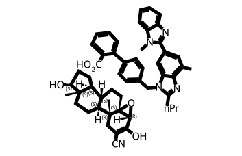 CCCc1nc2c(C)cc(-c3nc4ccccc4n3C)cc2n1Cc1ccc(-c2ccccc2C(=O)O)cc1.C[C@]12CC[C@H]3[C@@H](CC[C@@]45O[C@@H]4C(O)=C(C#N)C[C@]35C)[C@@H]1CC[C@@H]2O